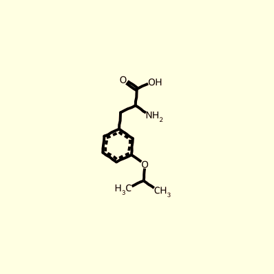 CC(C)Oc1cccc(CC(N)C(=O)O)c1